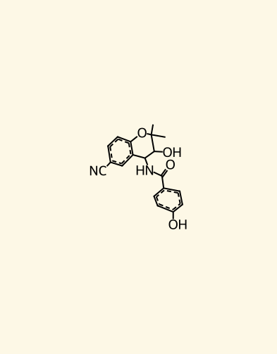 CC1(C)Oc2ccc(C#N)cc2C(NC(=O)c2ccc(O)cc2)C1O